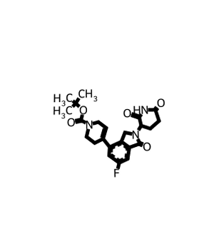 CC(C)(C)OC(=O)N1CC=C(c2cc(F)cc3c2CN(C2CCC(=O)NC2=O)C3=O)CC1